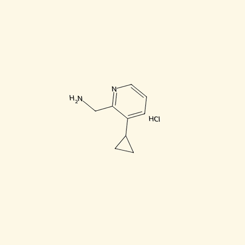 Cl.NCc1ncccc1C1CC1